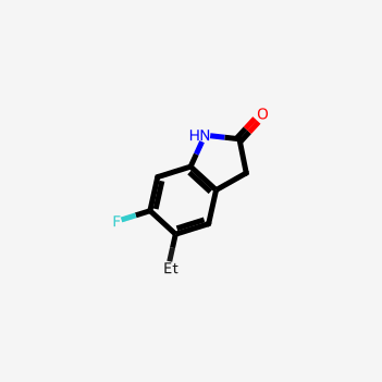 CCc1cc2c(cc1F)NC(=O)C2